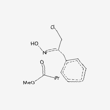 COC(=O)C(C)C.ON=C(CCl)c1ccccc1